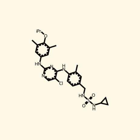 Cc1cc(CNS(=O)(=O)NC2CC2)ccc1Nc1nc(Nc2cc(C)c(OC(C)C)c(C)c2)ncc1Cl